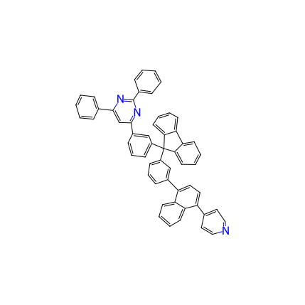 c1ccc(-c2cc(-c3cccc(C4(c5cccc(-c6ccc(-c7ccncc7)c7ccccc67)c5)c5ccccc5-c5ccccc54)c3)nc(-c3ccccc3)n2)cc1